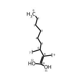 CCCCCCC(I)C(I)=C(O)O